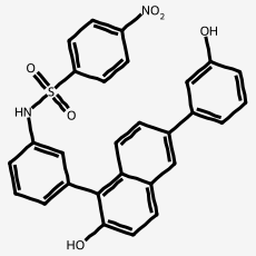 O=[N+]([O-])c1ccc(S(=O)(=O)Nc2cccc(-c3c(O)ccc4cc(-c5cccc(O)c5)ccc34)c2)cc1